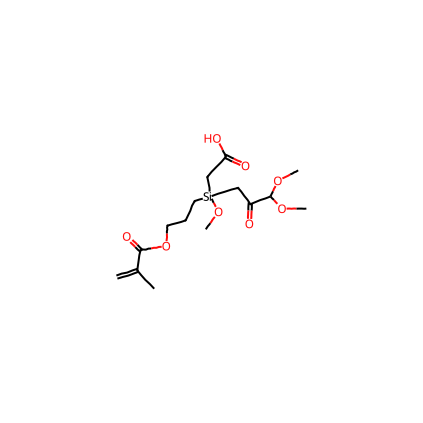 C=C(C)C(=O)OCCC[Si](CC(=O)O)(CC(=O)C(OC)OC)OC